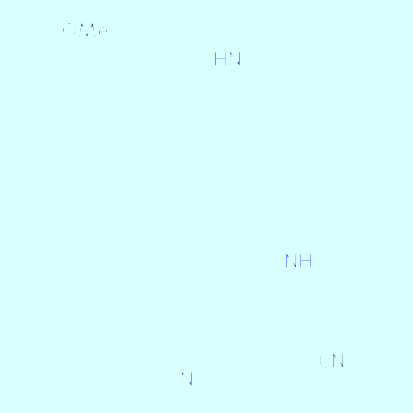 COc1ccc(CCc2cncc(C#N)c2Nc2ccc3[nH]ccc3c2C)cc1